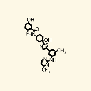 Cc1cc(Nc2nccc(C(F)(F)F)n2)cc(-c2cnc([C@]3(O)CC[C@H](NC(=O)c4cc(O)ccc4F)CC3)s2)c1